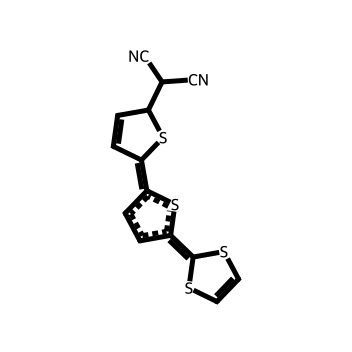 N#CC(C#N)C1C=C/C(=c2\ccc(=C3SC=CS3)s2)S1